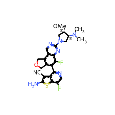 CO[C@H]1CN(c2ncc3c4c(c(-c5ncc(F)c6sc(N)c(C#N)c56)c(F)c3n2)COC4)C[C@@H]1N(C)C